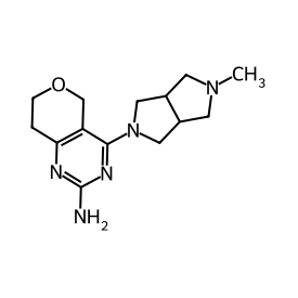 CN1CC2CN(c3nc(N)nc4c3COCC4)CC2C1